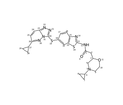 O=C(CC1CN(C2CC2)CCO1)Nc1nc2ccc(Sc3nnc4ccc(C5CC5)nn34)cc2s1